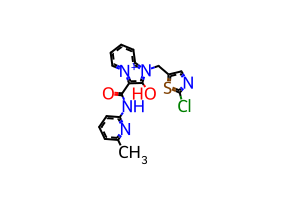 Cc1cccc(NC(=O)c2c(O)n(Cc3cnc(Cl)s3)c3cccc[n+]23)n1